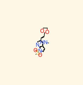 CNc1c(C=CC2OCCO2)cnc2c1ccn2S(C)(=O)=O